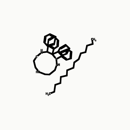 CCCCCCCCCCCCCCC.c1ccc(C2NCCCNCCCNN(c3ccccc3)C2(c2ccccc2)c2ccccc2)cc1